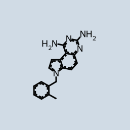 Cc1ccccc1Cn1ccc2c3c(N)nc(N)nc3ccc21